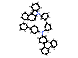 c1ccc(-c2ccc(N(c3ccc(-c4ccccc4-c4ccccc4)cc3)c3cccc(-c4cccc(-n5c6ccccc6c6c7ccccc7ccc65)c4)c3)cc2)cc1